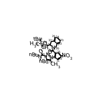 CCCCN(CCCC)C(=O)c1cc(C)n(-c2ccc([N+](=O)[O-])cc2C(=O)N2Cc3ccccc3CC2CO[Si](C)(C)C(C)(C)C)n1